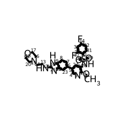 COc1ncc(-c2ccc3[nH]c(NCCN4CCOCC4)nc3c2)cc1NS(=O)(=O)c1ccc(F)cc1F